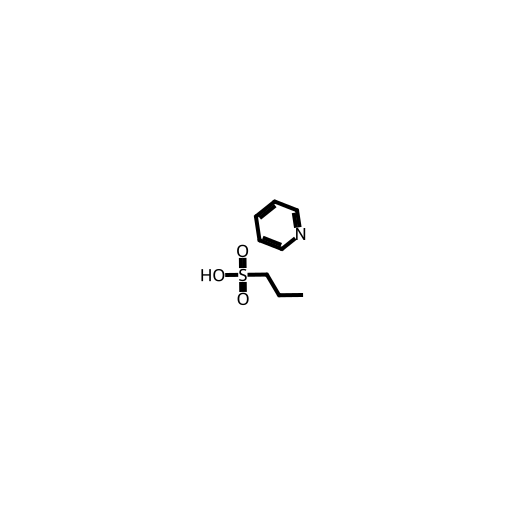 CCCS(=O)(=O)O.c1ccncc1